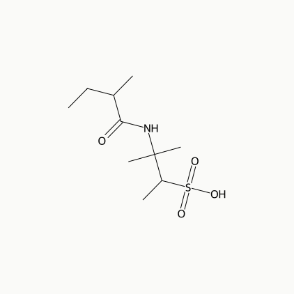 CCC(C)C(=O)NC(C)(C)C(C)S(=O)(=O)O